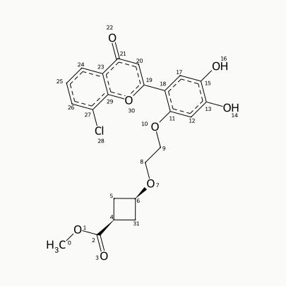 COC(=O)[C@H]1C[C@@H](OCCOc2cc(O)c(O)cc2-c2cc(=O)c3cccc(Cl)c3o2)C1